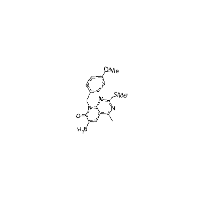 Bc1cc2c(C)nc(SC)nc2n(Cc2ccc(OC)cc2)c1=O